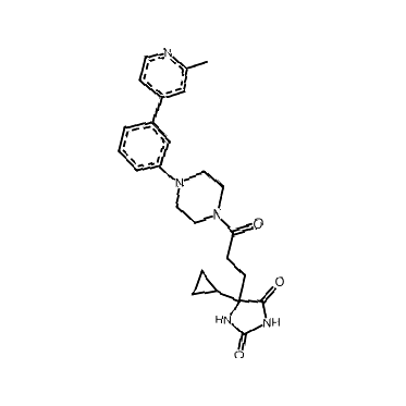 Cc1cc(-c2cccc(N3CCN(C(=O)CCC4(C5CC5)NC(=O)NC4=O)CC3)c2)ccn1